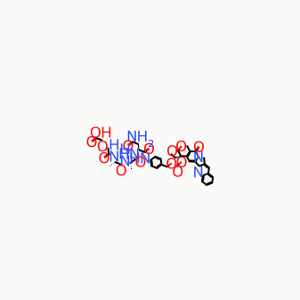 CC[C@@]1(OC(=O)OCc2ccc(NC(=O)[C@H](CC(N)=O)NC(=O)[C@H](C)NC(=O)[C@H](C)NC(=O)COCC(=O)O)cc2)C(=O)OCc2c1cc1n(c2=O)Cc2cc3ccccc3nc2-1